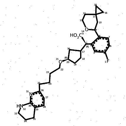 O=C(O)[C@@H](c1cc(F)ccc1C1CC2(CCO1)CC2)C1CC[C@@H](OCCCCc2ccc3c(n2)NCCC3)C1